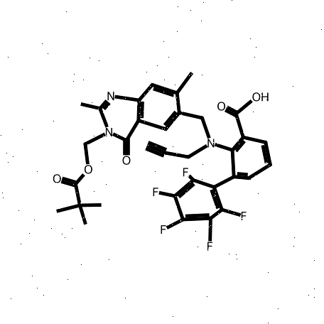 C#CCN(Cc1cc2c(=O)n(COC(=O)C(C)(C)C)c(C)nc2cc1C)c1c(C(=O)O)cccc1-c1c(F)c(F)c(F)c(F)c1F